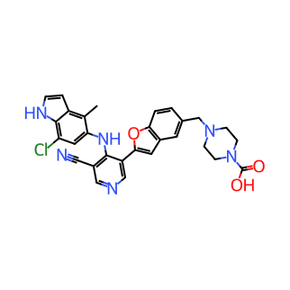 Cc1c(Nc2c(C#N)cncc2-c2cc3cc(CN4CCN(C(=O)O)CC4)ccc3o2)cc(Cl)c2[nH]ccc12